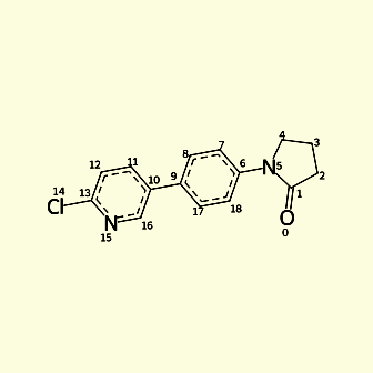 O=C1CCCN1c1ccc(-c2ccc(Cl)nc2)cc1